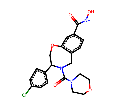 O=C(NO)c1ccc2c(c1)OCC(c1ccc(Cl)cc1)N(C(=O)N1CCOCC1)C2